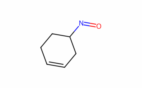 O=NC1CC=CCC1